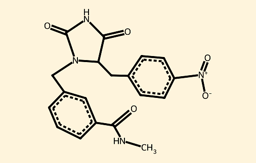 CNC(=O)c1cccc(CN2C(=O)NC(=O)C2Cc2ccc([N+](=O)[O-])cc2)c1